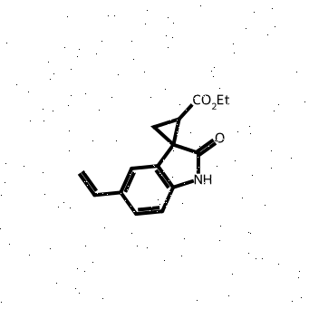 C=Cc1ccc2c(c1)C1(CC1C(=O)OCC)C(=O)N2